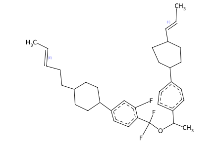 C/C=C/CCC1CCC(c2ccc(C(F)(F)OC(C)c3ccc(C4CCC(/C=C/C)CC4)cc3)c(F)c2)CC1